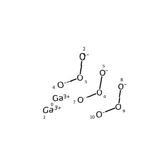 [Ga+3].[Ga+3].[O-]O[O-].[O-]O[O-].[O-]O[O-]